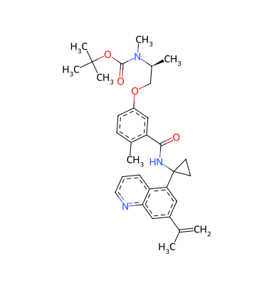 C=C(C)c1cc(C2(NC(=O)c3cc(OC[C@H](C)N(C)C(=O)OC(C)(C)C)ccc3C)CC2)c2cccnc2c1